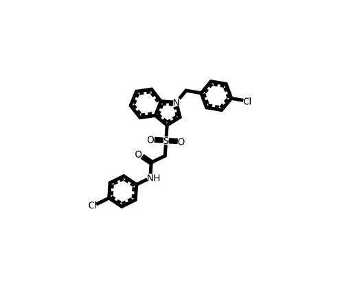 O=C(CS(=O)(=O)c1cn(Cc2ccc(Cl)cc2)c2ccccc12)Nc1ccc(Cl)cc1